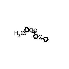 COc1cccc(OCC(=O)c2cccc(OCc3ccccc3)c2)c1